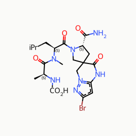 CC(C)C[C@@H](C(=O)N1CC2(C[C@H]1C(N)=O)Cn1nc(Br)cc1NC2=O)N(C)C(=O)[C@H](C)NC(=O)O